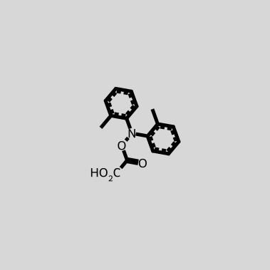 Cc1ccccc1N(OC(=O)C(=O)O)c1ccccc1C